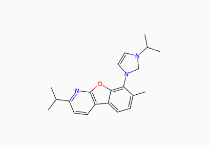 Cc1ccc2c(oc3nc(C(C)C)ccc32)c1N1C=CN(C(C)C)C1